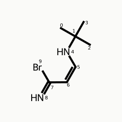 CC(C)(C)N/C=C\C(=N)Br